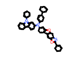 c1ccc(-c2ccc(N(c3ccc4c(c3)oc3cc5nc(-c6ccccc6)oc5cc34)c3ccc4c5ccccc5n(-c5ccccc5)c4c3)cc2)cc1